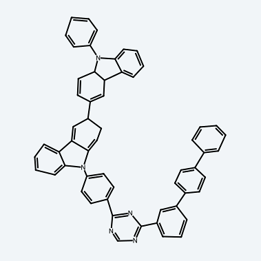 C1=CC2C(C=C1C1C=c3c(n(-c4ccc(-c5ncnc(-c6cccc(-c7ccc(-c8ccccc8)cc7)c6)n5)cc4)c4ccccc34)=CC1)c1ccccc1N2c1ccccc1